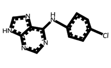 Clc1ccc(Nc2ncnc3[nH]cnc23)cc1